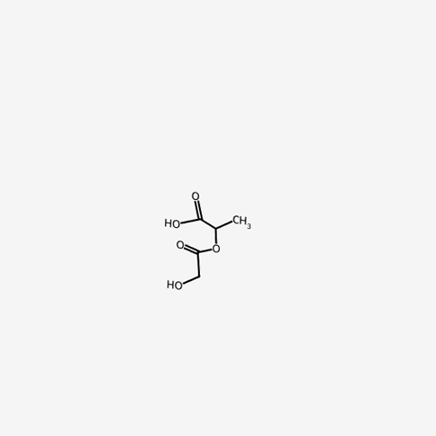 CC(OC(=O)CO)C(=O)O